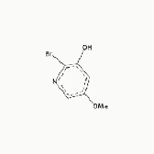 COc1cnc(Br)c(O)c1